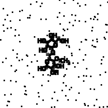 CO[C@H]1[C@H](O)[C@@H](O)C(O)O[C@@H]1CO[C@@H]1O[C@H](CO)[C@@H](O)[C@H](O)[C@H]1O